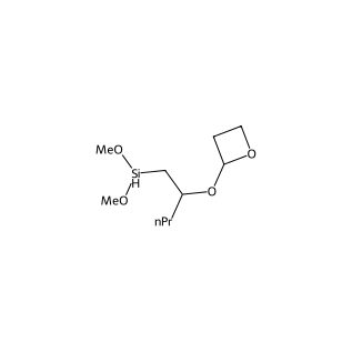 CCCC(C[SiH](OC)OC)OC1CCO1